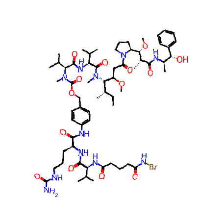 CC[C@H](C)[C@@H]([C@@H](CC(=O)N1CCC[C@H]1[C@H](OC)[C@@H](C)C(=O)N[C@H](C)[C@@H](O)c1ccccc1)OC)N(C)C(=O)[C@@H](NC(=O)[C@H](C(C)C)N(C)C(=O)OCc1ccc(NC(=O)[C@H](CCCNC(N)=O)NC(=O)[C@@H](NC(=O)CCCC(=O)NBr)C(C)C)cc1)C(C)C